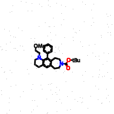 COCCN1CCCc2cc3c(c(-c4ccccc4)c21)CCN(C(=O)OC(C)(C)C)CC3